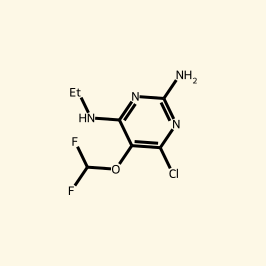 CCNc1nc(N)nc(Cl)c1OC(F)F